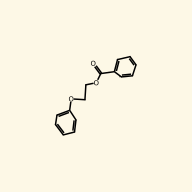 O=C(OCCOc1ccccc1)c1[c]cccc1